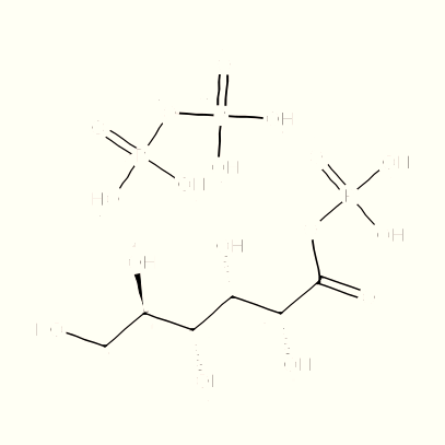 O=C(OP(=O)(O)O)[C@H](O)[C@@H](O)[C@H](O)[C@H](O)CO.O=P(O)(O)OP(=O)(O)O